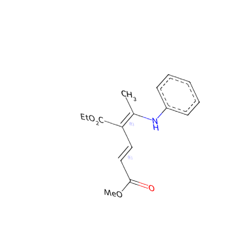 CCOC(=O)C(/C=C/C(=O)OC)=C(\C)Nc1ccccc1